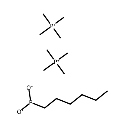 CCCCCCP([O-])[O-].C[P+](C)(C)C.C[P+](C)(C)C